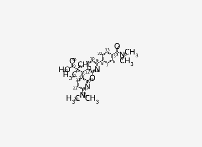 CN(C)C(=O)c1ccc(-c2ccc3c(n2)Oc2nc(N(C)C)ccc2C3C(C)(C)C(=O)O)cc1